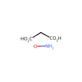 N[O].O=C(O)CC(=O)O